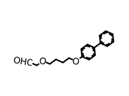 O=CCOCCCCOc1ccc(-c2ccccc2)cc1